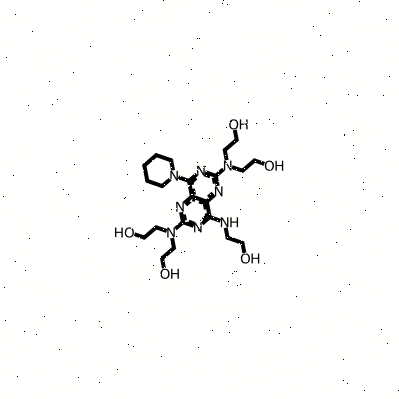 OCCNc1nc(N(CCO)CCO)nc2c(N3CCCCC3)nc(N(CCO)CCO)nc12